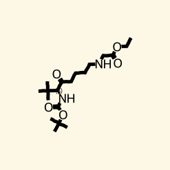 CCOC(=O)CNCCCCC(=O)[C@@H](NC(=O)OC(C)(C)C)C(C)(C)C